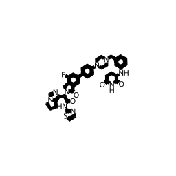 O=C1CCC(Nc2cccc(CN3CCN(c4ccc(-c5cc(F)c6c(c5)C(=O)N(C(C(=O)Nc5nccs5)c5ncn7c5CCC7)C6)cc4)CC3)c2)C(=O)N1